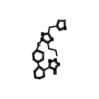 CCCc1nc(Cc2ccsc2)nn1Cc1ccc(-c2ccccc2-c2nnn[nH]2)cc1